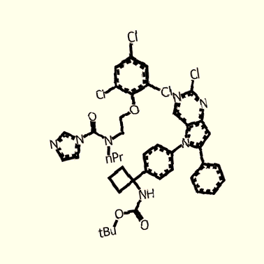 CC(C)(C)OC(=O)NC1(c2ccc(-n3c(-c4ccccc4)cc4nc(Cl)ncc43)cc2)CCC1.CCCN(CCOc1c(Cl)cc(Cl)cc1Cl)C(=O)n1ccnc1